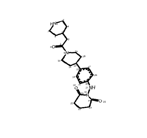 O=C(CC1CCNCC1)N1CCC(c2ccc(NN3C(=O)CCCC3=O)cc2)CC1